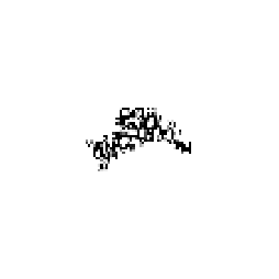 C[C@@H]1CN(c2ccc(-c3cnc4c(-c5ccc(C#N)cc5)cccc4c3C3CCOC3=O)cc2)C[C@H](C)O1